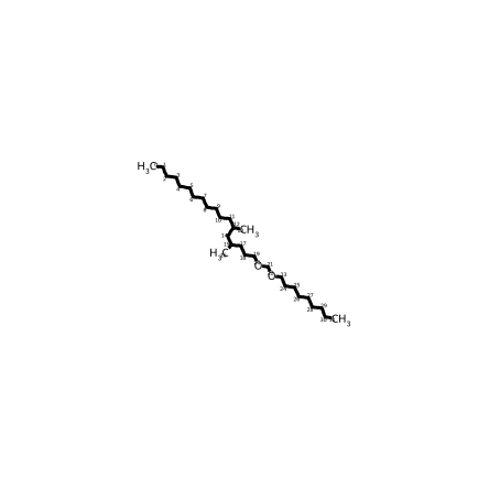 CCCCCCCCCCCCC(C)CC(C)CCCOCOCCCCCCCCC